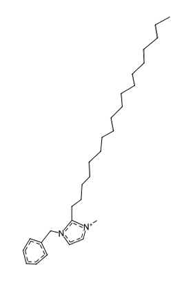 CCCCCCCCCCCCCCCCCCc1n(Cc2ccccc2)cc[n+]1C